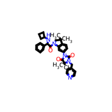 CC1(C)CN(C(=O)C(NC2CCC2)c2ccccc2)c2cc(N3C(=O)N(Cc4ccncc4)C(C)(C)C3=O)ccc21